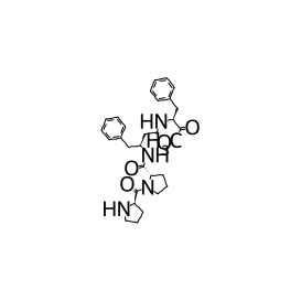 CC(=O)[C@H](Cc1ccccc1)NC(=O)C[C@H](Cc1ccccc1)NC(=O)[C@@H]1CCCN1C(=O)[C@H]1CCCN1